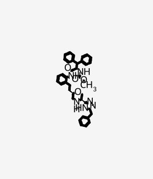 COC(=O)N[C@H](C(=O)Nc1ccccc1CC[C@@H]1CN[C@H](c2nnc(Cc3ccccc3)[nH]2)CO1)C(c1ccccc1)c1ccccc1